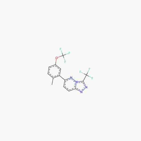 Cc1ccc(OC(F)(F)F)cc1-c1ccc2nnc(C(F)(F)F)n2n1